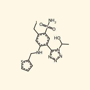 CC(O)n1nnnc1-c1cc(S(N)(=O)=O)c(CI)cc1NCc1cccs1